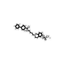 O=C(NCCCCN1CCc2cc(OS(=O)(=O)C(F)(F)F)ccc2C1)c1ccc(-c2ccccc2)cc1